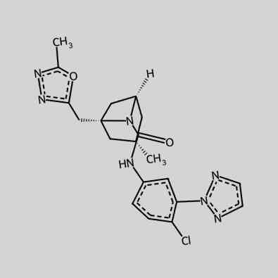 Cc1nnc(C[C@]23C[C@@H](C)C[C@H](C2)N3C(=O)Nc2ccc(Cl)c(-n3nccn3)c2)o1